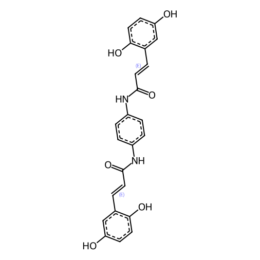 O=C(/C=C/c1cc(O)ccc1O)Nc1ccc(NC(=O)/C=C/c2cc(O)ccc2O)cc1